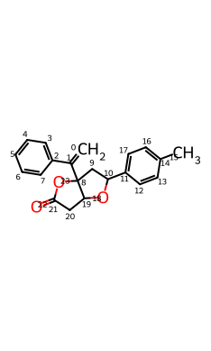 C=C(c1ccccc1)C12CC(c3ccc(C)cc3)OC1CC(=O)O2